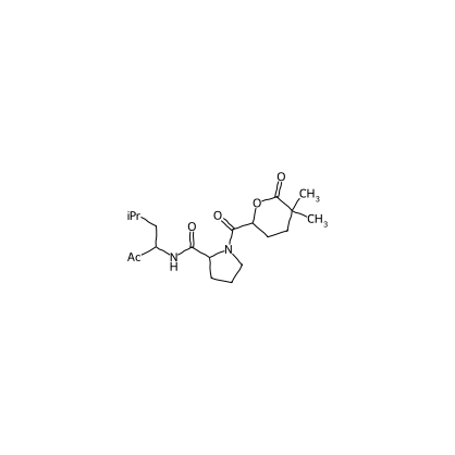 CC(=O)C(CC(C)C)NC(=O)C1CCCN1C(=O)C1CCC(C)(C)C(=O)O1